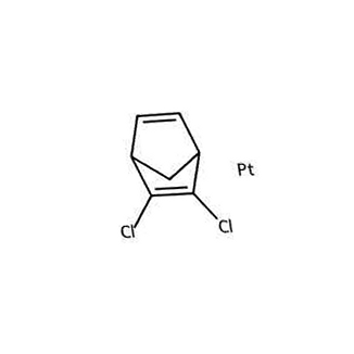 ClC1=C(Cl)C2C=CC1C2.[Pt]